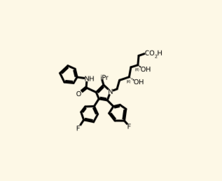 CC(C)c1c(C(=O)Nc2ccccc2)c(-c2ccc(F)cc2)c(-c2ccc(F)cc2)n1CC[C@@H](O)C[C@@H](O)CC(=O)O